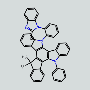 Cc1nc2ccccc2n1-c1ccccc1-n1c2ccccc2c2c3c(c4c(c5ccccc5n4-c4ccccc4)c21)-c1ccccc1C3(C)C